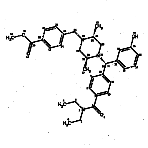 CCN(CC)C(=O)c1ccc([C@@H](c2cccc(O)c2)N2C[C@@H](C)N(Cc3ccc(C(=O)OC)cc3)C[C@@H]2C)cc1